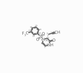 C#CC[C@@H]1C(=O)NC=CN1S(=O)(=O)c1cccc(C(F)(F)F)c1